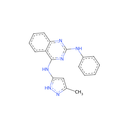 Cc1cc(Nc2nc(Nc3ccccc3)nc3ccccc23)[nH]n1